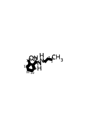 CCCCNNC(=O)c1ccccc1CO